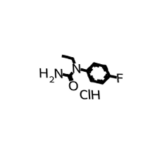 CCN(C(N)=O)c1ccc(F)cc1.Cl